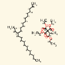 CCCCCCCCCCCCC(CCC)CCCCCCCCCCCC.CCOC(=O)C(C)C(C(=O)OCC)(C(=O)OCC)C(=O)OCC